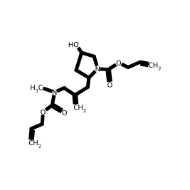 C=CCOC(=O)N(C)CC(=C)CC1CC(O)CN1C(=O)OCC=C